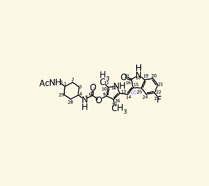 CC(=O)NC1CCC(NC(=O)Oc2c(C)[nH]c(/C=C3\C(=O)Nc4ccc(F)cc43)c2C)CC1